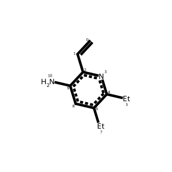 C=Cc1nc(CC)c(CC)cc1N